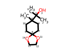 CC(C)(O)C1(C)CCC2(CC1)OCCO2